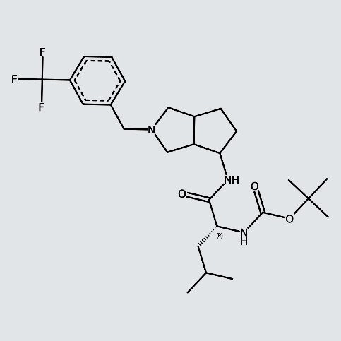 CC(C)C[C@@H](NC(=O)OC(C)(C)C)C(=O)NC1CCC2CN(Cc3cccc(C(F)(F)F)c3)CC21